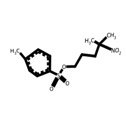 Cc1ccc(S(=O)(=O)OCCCC(C)(C)[N+](=O)[O-])cc1